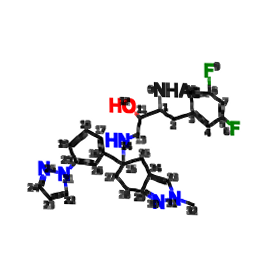 CC(=O)NC(Cc1cc(F)cc(F)c1)C(O)CNC1(c2cccc(-n3cccn3)c2)CCc2nn(C)cc2C1